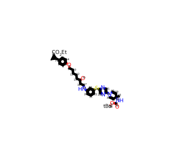 CCOC(=O)C1CC1c1ccc(OCCCCCC(=O)CCNc2cccc(Sc3cnc(N4C=CC(C)(NC(=O)OC(C)(C)C)C=C4)cn3)c2)cc1